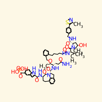 Cc1ncsc1-c1ccc(CNC(=O)[C@@H]2C[C@@H](O)CN2C(=O)[C@@H](NC(=O)CCCCCc2ccccc2CO[C@H](C)[C@H](CCC(N)=O)NC(=O)[C@@H]2Cc3cccc4c3N2C(=O)[C@@H](NC(=O)c2cc3cc(C(=O)P(=O)(O)O)ccc3[nH]2)CC4)C(C)(C)C)cc1